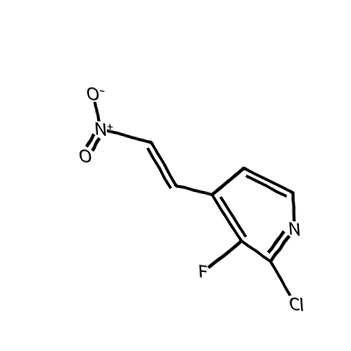 O=[N+]([O-])/C=C/c1ccnc(Cl)c1F